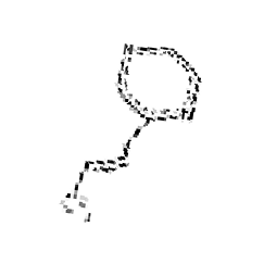 FC(F)(F)C=Cc1cnccn1